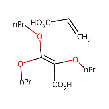 C=CC(=O)O.CCCOC(OCCC)=C(OCCC)C(=O)O